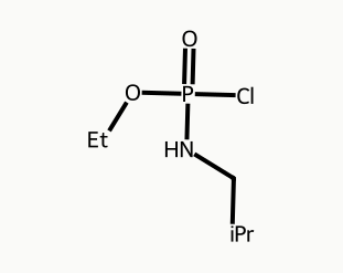 CCOP(=O)(Cl)NCC(C)C